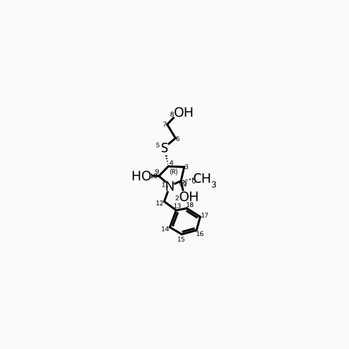 C[C@@]1(O)C[C@@H](SCCO)C(O)N1Cc1ccccc1